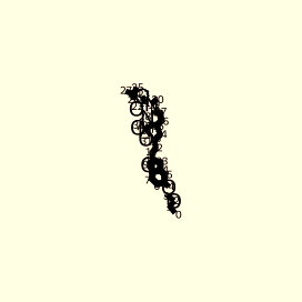 CCOCOc1ccc2oc(C=CC=Cc3ccc(N(C)C(=O)OC(C)(C)C)nc3[N+](=O)[O-])cc2c1